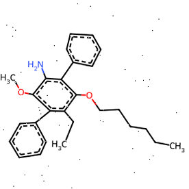 CCCCCCOc1c(CC)c(-c2ccccc2)c(OC)c(N)c1-c1ccccc1